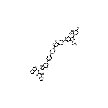 Cn1nc(N2CCC(=O)NC2=O)c2cnc(N3CCC(O)(CC(=O)N4CCN(c5ccc(-c6cc(F)c7cn(C(C(=O)Nc8nccs8)c8ncn9c8CCC9)nc7c6)cc5)CC4)CC3)cc21